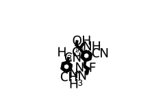 Cc1ccc(C#N)cc1Nc1ncc(F)c(-c2cc(C#N)c3c(c2)[C@@](C)(CO)CN3)n1